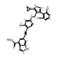 COC(=O)c1cc(C#Cc2ccc(OCc3c(-c4c(Cl)cccc4Cl)noc3C3CC3)cc2Cl)cc2[nH]ncc12